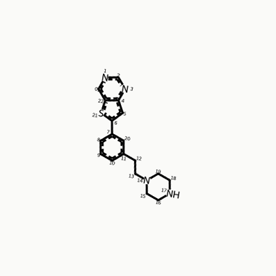 [c]1ncnc2cc(-c3cccc(CCN4CCNCC4)c3)sc12